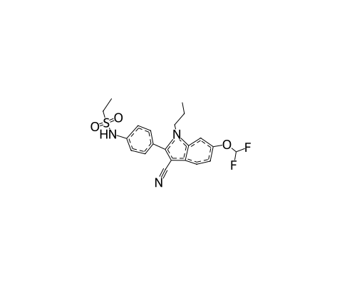 CCCn1c(-c2ccc(NS(=O)(=O)CC)cc2)c(C#N)c2ccc(OC(F)F)cc21